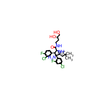 CC(C)(C)C[C@@H]1NC(C(=O)NCC[C@H](O)CO)[C@H](c2ccc(F)c(Cl)c2)[C@@]1(N)c1ccc(Cl)cc1F